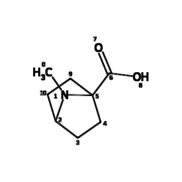 CN1C2CCC1(C(=O)O)CC2